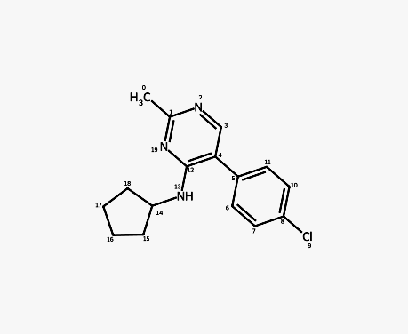 Cc1ncc(-c2ccc(Cl)cc2)c(NC2CCCC2)n1